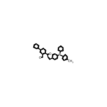 Cc1ccc(N(c2ccccc2)c2ccc(/C=C\C(=O)c3ccc(-c4ccccc4)cc3C=O)cc2)cc1